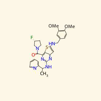 COc1ccc(CNc2cc3nc(NC(C)c4ccccn4)nc(C(=O)N4CC[C@@H](F)C4)c3s2)cc1OC